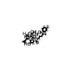 Cn1c(CCCNC(=O)[C@@H]2C[C@@H](O)CN2C(=O)[C@@H](n2cc(C3CC3)nn2)C(C)(C)C)nc2cc(F)ccc21